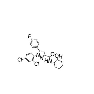 O=C(N[C@H]1CCCC[C@@H]1O)C1=NN(c2ccc(Cl)cc2Cl)C(c2ccc(F)cc2)C1